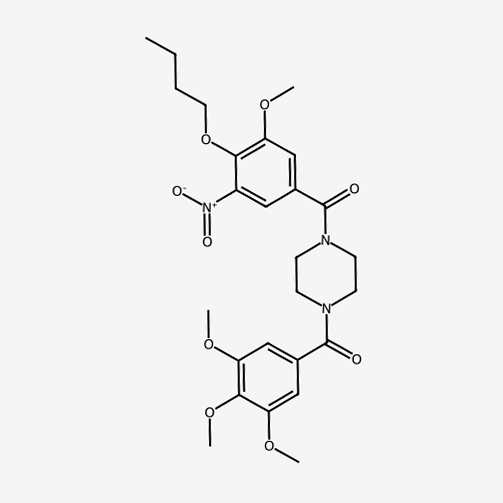 CCCCOc1c(OC)cc(C(=O)N2CCN(C(=O)c3cc(OC)c(OC)c(OC)c3)CC2)cc1[N+](=O)[O-]